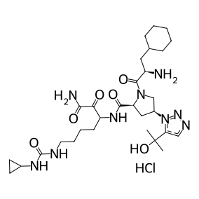 CC(C)(O)c1cnnn1[C@H]1C[C@@H](C(=O)NC(CCCCNC(=O)NC2CC2)C(=O)C(N)=O)N(C(=O)[C@H](N)CC2CCCCC2)C1.Cl